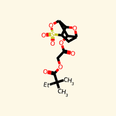 CCC(C)(C)C(=O)OCC(=O)OC1C2CC3C(O2)C1OS3(=O)=O